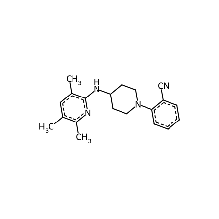 Cc1cc(C)c(NC2CCN(c3ccccc3C#N)CC2)nc1C